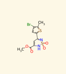 COC(=O)C1=CC(c2cc(Br)c(C)s2)=NS(=O)(=O)N1